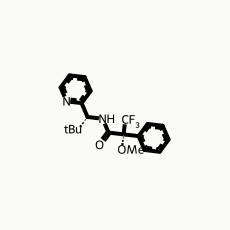 CO[C@@](C(=O)N[C@@H](c1ccccn1)C(C)(C)C)(c1ccccc1)C(F)(F)F